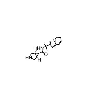 CC(C)(NC(=O)[C@H]1[C@@H]2CNC[C@@H]21)c1cc2ccccn2c1